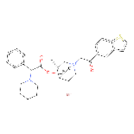 O=C(C[N+]12CCC(CC1)[C@@H](OC(=O)C(c1ccccc1)N1CCCCC1)C2)c1ccc2sccc2c1.[Br-]